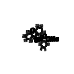 COc1ccccc1S(=O)(=O)c1cccc2oc3ccccc3c(=O)c12